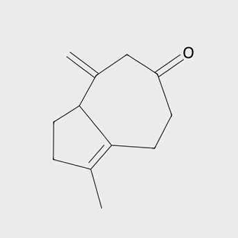 C=C1CC(=O)CCC2=C(C)CCC12